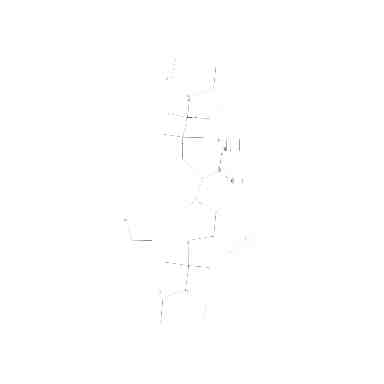 CCCCC(C)(CC(C=O)C(C)C(C)C(CC(C)(C)C(C)(CC)C(CC)CC)C(N)=O)C(CC)CC